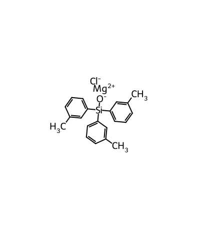 Cc1cccc([Si]([O-])(c2cccc(C)c2)c2cccc(C)c2)c1.[Cl-].[Mg+2]